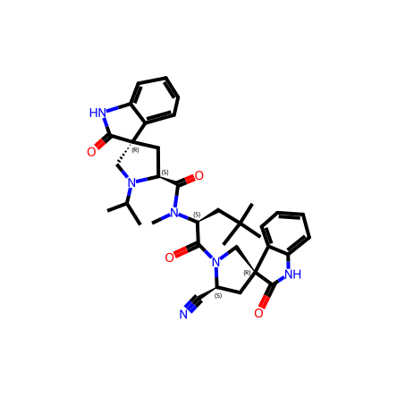 CC(C)N1C[C@]2(C[C@H]1C(=O)N(C)[C@@H](CC(C)(C)C)C(=O)N1C[C@]3(C[C@H]1C#N)C(=O)Nc1ccccc13)C(=O)Nc1ccccc12